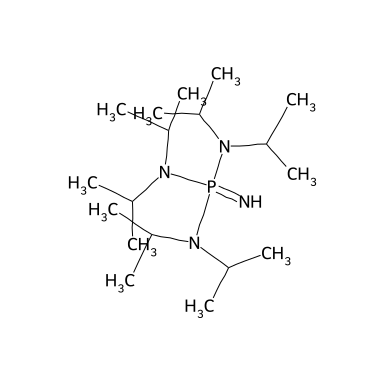 CC(C)N(C(C)C)P(=N)(N(C(C)C)C(C)C)N(C(C)C)C(C)C